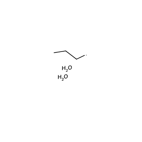 O.O.[CH2]CCC